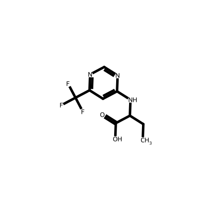 CCC(Nc1cc(C(F)(F)F)ncn1)C(=O)O